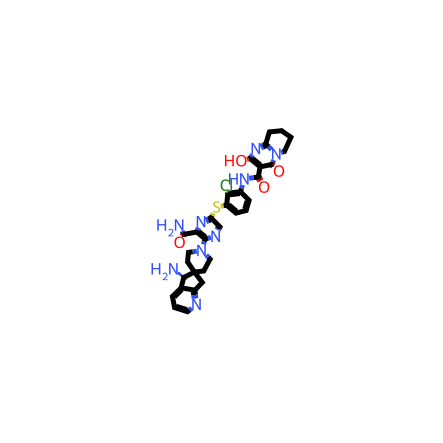 NC(=O)c1nc(Sc2cccc(NC(=O)c3c(O)nc4n(c3=O)CCCC4)c2Cl)cnc1N1CCC2(CC1)Cc1ncccc1[C@H]2N